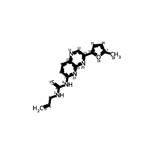 C=CCNC(=S)Nc1ccc2ncc(-c3ccc(C)o3)nc2n1